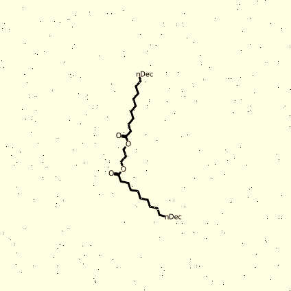 CCCCCCCCCCCCCCCCCCCC(=O)OC[CH]COC(=O)CCCCCCCCCCCCCCCCCCC